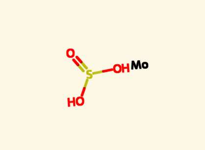 O=S(O)O.[Mo]